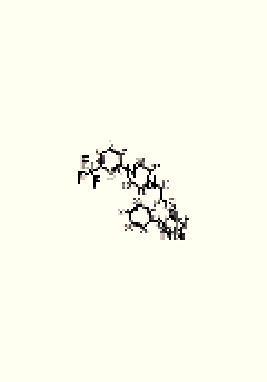 FC(F)(F)c1cccc(N2CCN(CCSc3nnnn3-c3ccccc3)CC2)c1